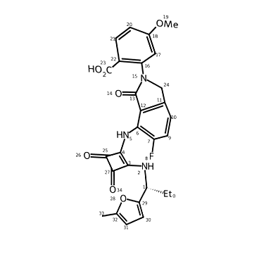 CC[C@@H](Nc1c(Nc2c(F)ccc3c2C(=O)N(c2cc(OC)ccc2C(=O)O)C3)c(=O)c1=O)c1ccc(C)o1